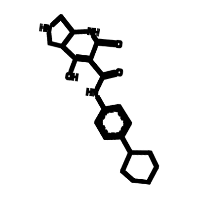 O=C(Nc1ccc(C2CCCCC2)cc1)C1=C(O)C2CNCC2NC1=O